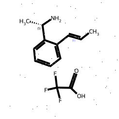 C/C=C/c1ccccc1[C@H](C)N.O=C(O)C(F)(F)F